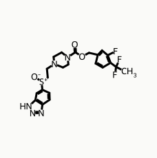 CC(F)(F)c1ccc(COC(=O)N2CCN(CC[S+]([O-])c3ccc4nn[nH]c4c3)CC2)cc1F